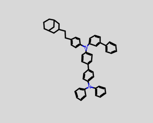 c1ccc(-c2cccc(N(c3ccc(CCC4CC5CCCC(C5)C4)cc3)c3ccc(-c4ccc(N(c5ccccc5)c5ccccc5)cc4)cc3)c2)cc1